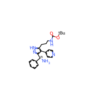 CC(C)(C)OC(=O)NCCCc1[nH]nc([C@H](N)c2ccccc2)c1-c1ccncc1